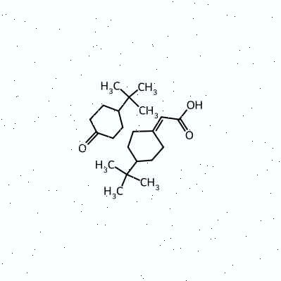 CC(C)(C)C1CCC(=CC(=O)O)CC1.CC(C)(C)C1CCC(=O)CC1